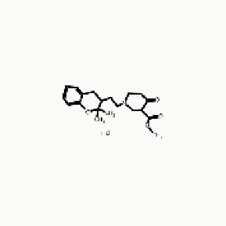 COC(=O)C1CN(CCC2Cc3ccccc3OC2(C)C)CCC1=O.Cl